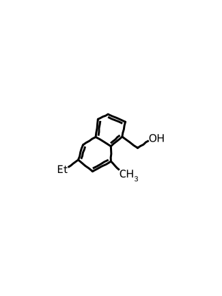 CCc1cc(C)c2c(CO)cccc2c1